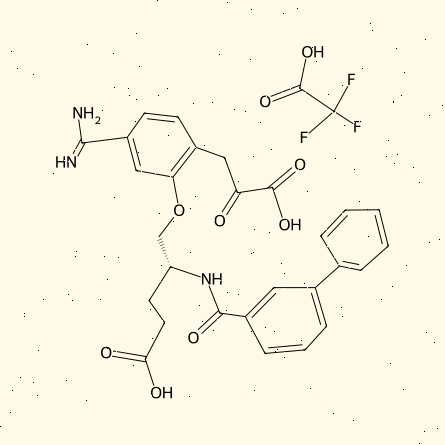 N=C(N)c1ccc(CC(=O)C(=O)O)c(OC[C@@H](CCC(=O)O)NC(=O)c2cccc(-c3ccccc3)c2)c1.O=C(O)C(F)(F)F